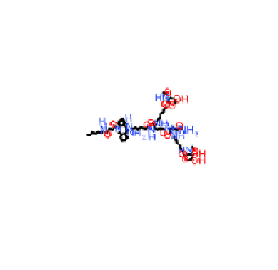 CCCCCCNC(=O)CCC(=O)N1Cc2ccccc2/C(N)=C(/NCCCCCC(=O)NC(CCC(=O)NC(CCC(N)=O)C(=O)NCCCCCCO[C@@H]2OC[C@H](O)[C@H](O)[C@H]2NC(C)=O)C(=O)NCCCCCCO[C@@H]2OC[C@H](O)C[C@H]2NC(C)=O)c2ccccc21